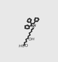 O=C(O)CCCC(O)CCCC/C=C/n1nc(-c2ccccc2)c(-c2ccccc2)c1-c1ccccc1